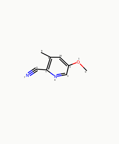 COc1cnc(C#N)c(C)c1